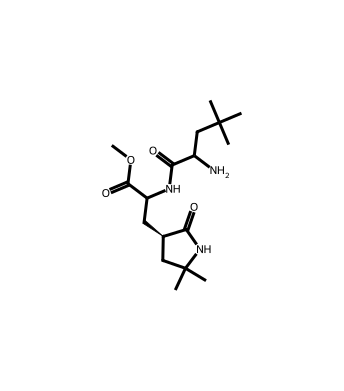 COC(=O)C(C[C@@H]1CC(C)(C)NC1=O)NC(=O)C(N)CC(C)(C)C